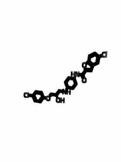 O=C(N[C@H]1CC[C@H](NC[C@@H](O)COc2ccc(Cl)cc2)CC1)c1cc2cc(Cl)ccc2o1